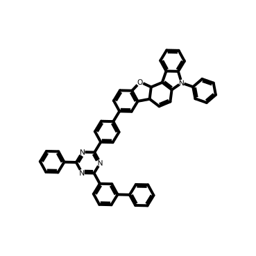 C1=CC2c3cc(-c4ccc(-c5nc(-c6ccccc6)nc(-c6cccc(-c7ccccc7)c6)n5)cc4)ccc3OC2c2c1n(-c1ccccc1)c1ccccc21